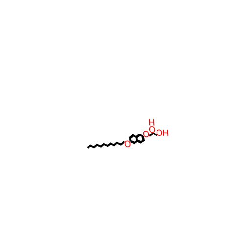 CCCCCCCCCCCCOc1ccc2cc(OCC(O)CO)ccc2c1